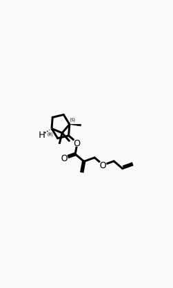 C=CCOCC(=C)C(=O)OC1C[C@H]2CC[C@@]1(C)C2(C)C